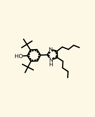 CCCCc1nc(-c2cc(C(C)(C)C)c(O)c(C(C)(C)C)c2)[nH]c1CCCC